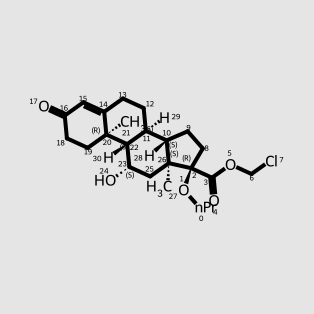 CCCO[C@]1(C(=O)OCCl)CC[C@H]2[C@@H]3CCC4=CC(=O)CC[C@]4(C)[C@H]3[C@@H](O)C[C@@]21C